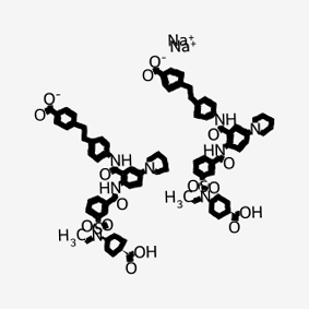 CCN([C@H]1CC[C@H](C(=O)O)CC1)S(=O)(=O)c1cccc(C(=O)Nc2ccc(N3CCCCC3)cc2C(=O)Nc2ccc(CCc3ccc(C(=O)[O-])cc3)cc2)c1.CCN([C@H]1CC[C@H](C(=O)O)CC1)S(=O)(=O)c1cccc(C(=O)Nc2ccc(N3CCCCC3)cc2C(=O)Nc2ccc(CCc3ccc(C(=O)[O-])cc3)cc2)c1.[Na+].[Na+]